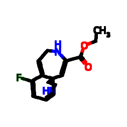 CCOC(=O)C1=CC23CCNC2=CC=C(F)C3=CCN1